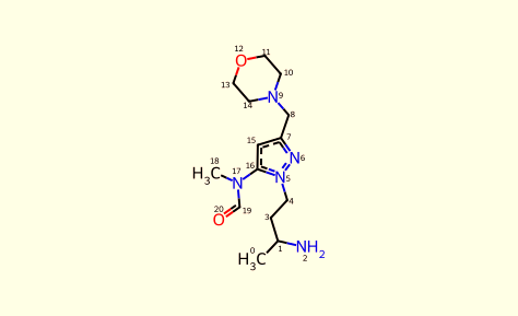 CC(N)CCn1nc(CN2CCOCC2)cc1N(C)C=O